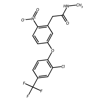 CNC(=O)Cc1cc(Oc2ccc(C(F)(F)F)cc2Cl)ccc1[N+](=O)[O-]